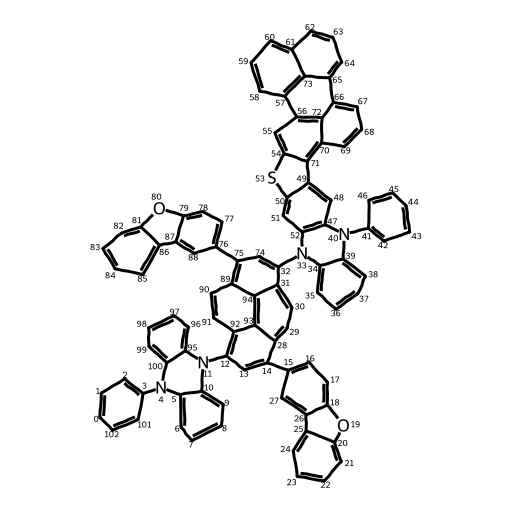 c1ccc(N2c3ccccc3N(c3cc(-c4ccc5oc6ccccc6c5c4)c4ccc5c(-n6c7ccccc7n(-c7ccccc7)c7cc8c(cc76)sc6cc7c9cccc%10cccc(c%11cccc(c68)c%117)c%109)cc(-c6ccc7oc8ccccc8c7c6)c6ccc3c4c65)c3ccccc32)cc1